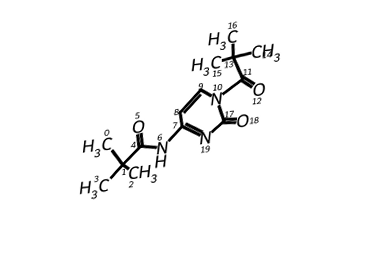 CC(C)(C)C(=O)Nc1ccn(C(=O)C(C)(C)C)c(=O)n1